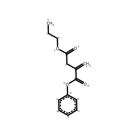 C=C(CC(=O)OCCC)C(=O)Oc1ccccc1